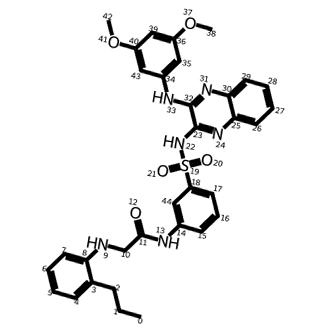 CCCc1ccccc1NCC(=O)Nc1cccc(S(=O)(=O)Nc2nc3ccccc3nc2Nc2cc(OC)cc(OC)c2)c1